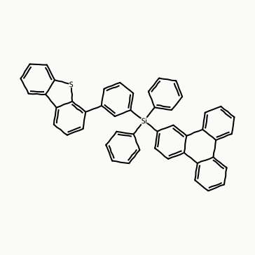 c1ccc([Si](c2ccccc2)(c2cccc(-c3cccc4c3sc3ccccc34)c2)c2ccc3c4ccccc4c4ccccc4c3c2)cc1